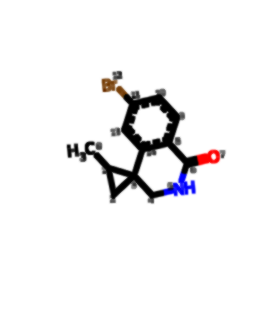 CC1CC12CNC(=O)c1ccc(Br)cc12